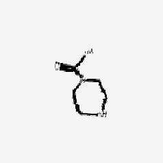 [CH2]CCC(=O)N1CCNCC1